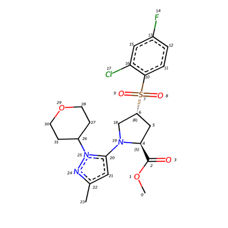 COC(=O)[C@@H]1C[C@@H](S(=O)(=O)c2ccc(F)cc2Cl)CN1c1cc(C)nn1C1CCOCC1